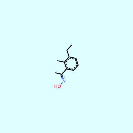 CCc1cccc(/C(C)=N/O)c1C